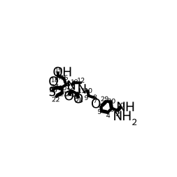 N=C(N)c1ccc(OCCCN2CCN(C(CC(=O)O)c3ccsc3)C(=O)C2=O)cc1